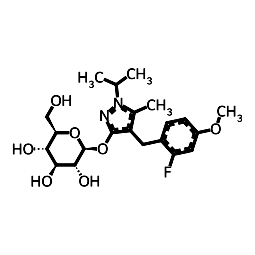 COc1ccc(Cc2c(O[C@@H]3O[C@H](CO)[C@@H](O)[C@H](O)[C@H]3O)nn(C(C)C)c2C)c(F)c1